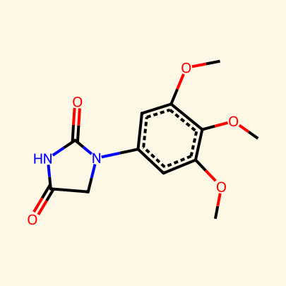 COc1cc(N2CC(=O)NC2=O)cc(OC)c1OC